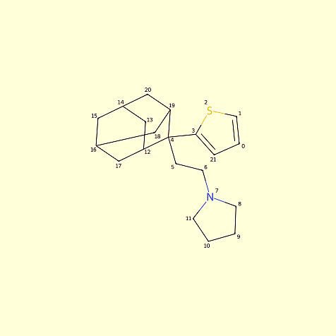 c1csc(C2(CCN3CCCC3)C3CC4CC(C3)CC2C4)c1